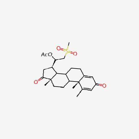 CC(=O)OC(CS(C)(=O)=O)[C@@H]1CC(=O)[C@@]2(C)CCC3C(CCC4=CC(=O)C=C(C)[C@@]43C)C12